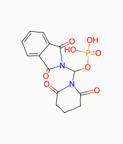 O=C1CCCC(=O)N1C(OP(=O)(O)O)N1C(=O)c2ccccc2C1=O